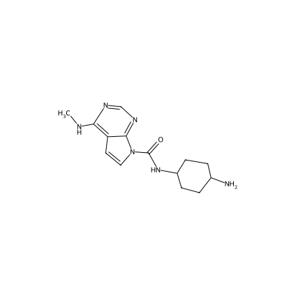 CNc1ncnc2c1ccn2C(=O)NC1CCC(N)CC1